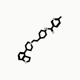 Cc1ccc(C(=O)NC2CCC(CCN3CCC(c4cccc5c4CCO5)CC3)CC2)cn1